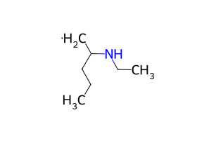 [CH2]C(CCC)NCC